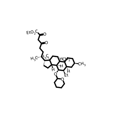 CCOC(=O)C(=O)CC(=O)CC[C@@H](C)[C@H]1CC[C@H]2[C@@H]3[C@H](OC4CCCCO4)[C@H](CC)[C@@H]4C[C@H](C)CC[C@]4(C)[C@H]3CC[C@]12C